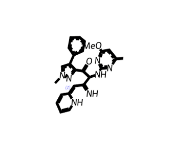 COc1cc(C)nc(NC(C(=N)/C=C2/C=CC=CN2)C(=O)c2nn(C)cc2-c2ccccc2)n1